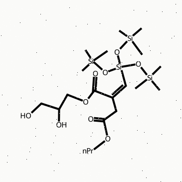 CCCOC(=O)CC(=C[Si](O[Si](C)(C)C)(O[Si](C)(C)C)O[Si](C)(C)C)C(=O)OCC(O)CO